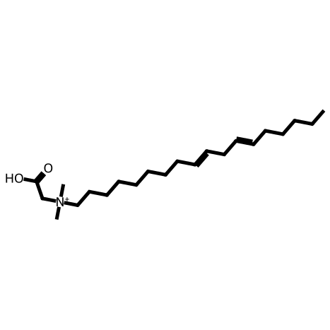 CCCCCC=CCC=CCCCCCCCC[N+](C)(C)CC(=O)O